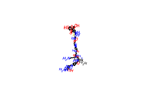 NCCCC[C@H](C(=O)O)N(C(=O)CC[C@H](NC(=O)c1ccc(NCc2cnc3nc(N)nc(O)c3n2)cc1)C(=O)O)C(=O)[C@@H](N)CCCCNC(=O)c1ccc(-n2cc(CCOC(=O)NCCNC(=S)Nc3ccc4c(c3)C(=O)OC43c4ccc(O)cc4Oc4cc(O)ccc43)nn2)cc1